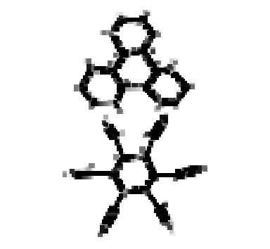 N#Cc1c(C#N)c(C#N)c(C#N)c(C#N)c1C#N.c1cnc2c(n1)c1cncnc1c1nccnc21